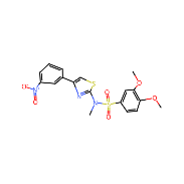 COc1ccc(S(=O)(=O)N(C)c2nc(-c3cccc([N+](=O)[O-])c3)cs2)cc1OC